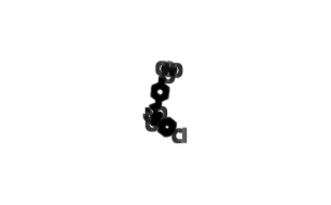 CN(CCC1CCC(COS(C)(=O)=O)CC1)S(=O)(=O)c1ccc(Cl)cc1